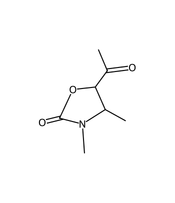 CC(=O)C1OC(=O)N(C)C1C